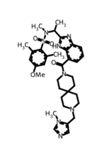 COc1cc(C)c(S(=O)(=O)N(C)C(C)c2nc3cccc(C(=O)N4CCC5(CCN(Cc6cncn6C)CC5)CC4)c3[nH]2)c(C)c1